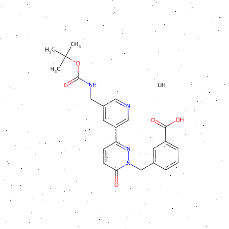 CC(C)(C)OC(=O)NCc1cncc(-c2ccc(=O)n(Cc3cccc(C(=O)O)c3)n2)c1.[LiH]